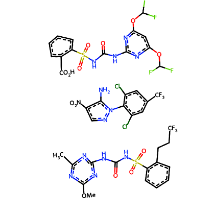 COc1nc(C)nc(NC(=O)NS(=O)(=O)c2ccccc2CCC(F)(F)F)n1.Nc1c([N+](=O)[O-])cnn1-c1c(Cl)cc(C(F)(F)F)cc1Cl.O=C(Nc1nc(OC(F)F)cc(OC(F)F)n1)NS(=O)(=O)c1ccccc1C(=O)O